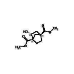 COC(=O)[C@@]12CC[C@@](C(=O)OC)(C1)[C@H](O)C2